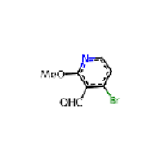 COc1nccc(Br)c1C=O